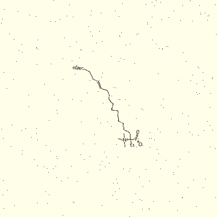 CCCCCCCCCCCCC=CCCCCCCCCCC(CC)(P(=O)=O)[N+](C)(C)C